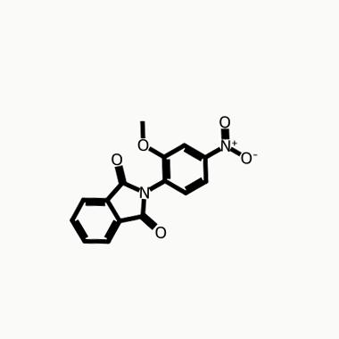 COc1cc([N+](=O)[O-])ccc1N1C(=O)c2ccccc2C1=O